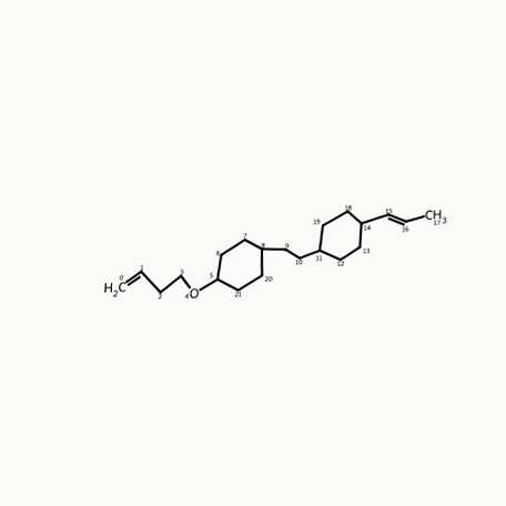 C=CCCOC1CCC(CCC2CCC(C=CC)CC2)CC1